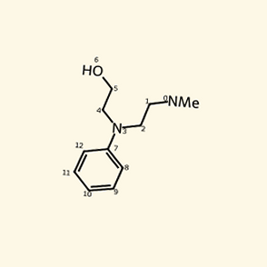 CNCCN(CCO)c1ccccc1